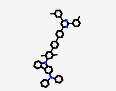 Cc1cccc(-c2cc(-c3ccc(-c4ccc(-c5cc(C)c(-n6c7ccccc7c7cc(N(c8ccccc8)c8ccccc8)ccc76)cc5C)cc4)cc3)nc(-c3cccc(C)c3)n2)c1